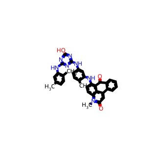 Cc1ccc(C)c(Nc2nc(O)nc(Nc3ccc(C)c(Nc4ccc5c6c(cc(=O)n5C)-c5ccccc5C(=O)c46)c3)n2)c1